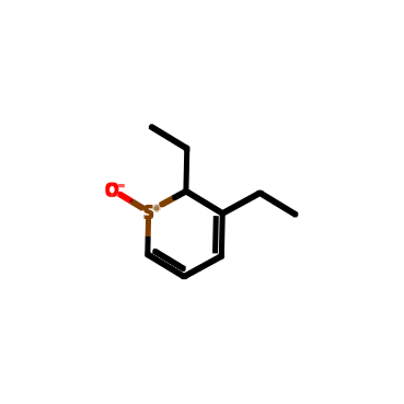 CCC1=CC=C[S+]([O-])C1CC